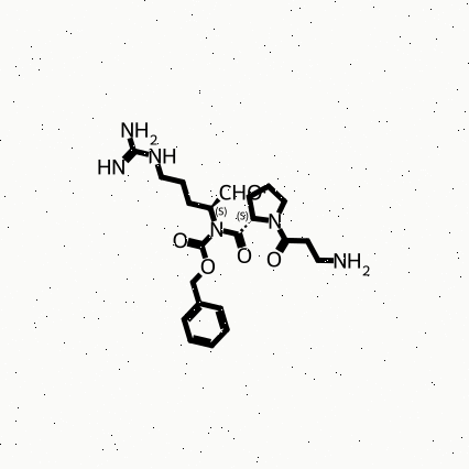 N=C(N)NCCC[C@@H]([C]=O)N(C(=O)OCc1ccccc1)C(=O)[C@@H]1CCCN1C(=O)CCN